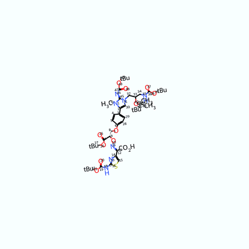 Cn1c(-c2ccc(OC[C@H](O/N=C(\C(=O)O)c3csc(NC(=O)OC(C)(C)C)n3)C(=O)OC(C)(C)C)cc2)cn(CC(CNC(=O)OC(C)(C)C)O[Si](C)(C)C(C)(C)C)c1=NC(=O)OC(C)(C)C